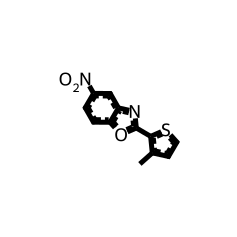 Cc1ccsc1-c1nc2cc([N+](=O)[O-])ccc2o1